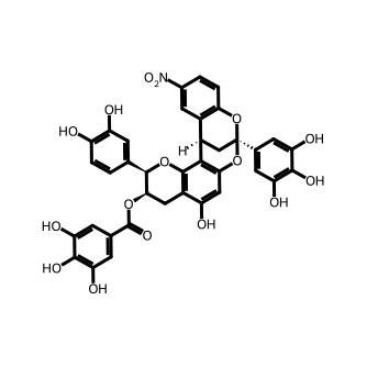 O=C(O[C@@H]1Cc2c(O)cc3c(c2O[C@@H]1c1ccc(O)c(O)c1)[C@@H]1C[C@@](c2cc(O)c(O)c(O)c2)(Oc2ccc([N+](=O)[O-])cc21)O3)c1cc(O)c(O)c(O)c1